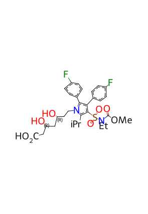 CCN(C(=O)OC)S(=O)(=O)c1c(-c2ccc(F)cc2)c(-c2ccc(F)cc2)n(CC[C@@H](O)C[C@@H](O)CC(=O)O)c1C(C)C